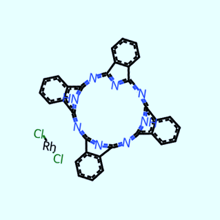 [Cl][Rh][Cl].c1ccc2c(c1)-c1nc-2nc2[nH]c(nc3nc(nc4[nH]c(n1)c1ccccc41)-c1ccccc1-3)c1ccccc21